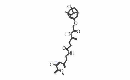 C=C(/C=C(/Cl)C(=C)OC)CCNC(=O)CCC(=C)NC(=O)COC1=C2CCCC(=C1)C(Cl)C2C